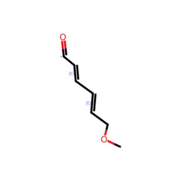 COC/C=C/C=C/[C]=O